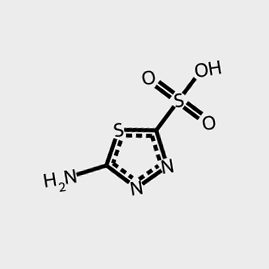 Nc1nnc(S(=O)(=O)O)s1